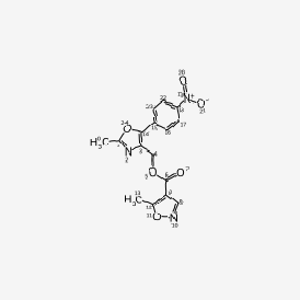 Cc1nc(COC(=O)c2cnoc2C)c(-c2ccc([N+](=O)[O-])cc2)o1